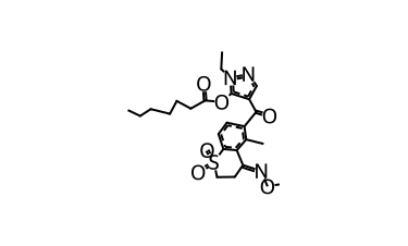 CCCCCCC(=O)Oc1c(C(=O)c2ccc3c(c2C)/C(=N/OC)CCS3(=O)=O)cnn1CC